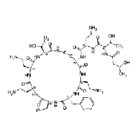 CC(C)C[C@@H]1NC(=O)[C@@H](Cc2ccccc2)NC(=O)[C@H](CCN)NC(=O)[C@@H](NC(=O)[C@H](CCN)NC(=O)[C@@H](NC(=O)CC(C)O)C(C)O)CCNC(=O)[C@H](C(C)O)NC(=O)[C@H](CCN)NC(=O)[C@H](CCN)NC1=O